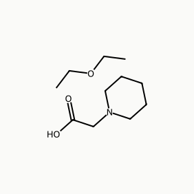 CCOCC.O=C(O)CN1CCCCC1